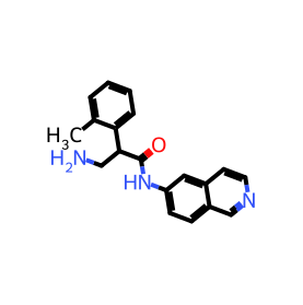 Cc1ccccc1C(CN)C(=O)Nc1ccc2cnccc2c1